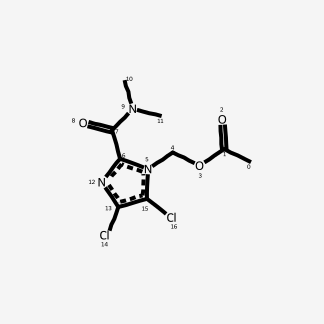 CC(=O)OCn1c(C(=O)N(C)C)nc(Cl)c1Cl